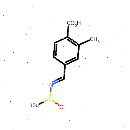 Cc1cc(/C=N/[S+]([O-])C(C)(C)C)ccc1C(=O)O